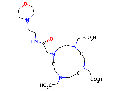 O=C(O)CN1CCN(CC(=O)O)CCN(CC(=O)NCCN2CCOCC2)CCN(CC(=O)O)CC1